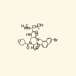 CN[C@@H](C)C(=O)N[C@H]1CN(C(=O)C2CCOCC2)c2ccccc2N(Cc2c(OC)ccc3cc(Br)ccc23)C1=O.Cl